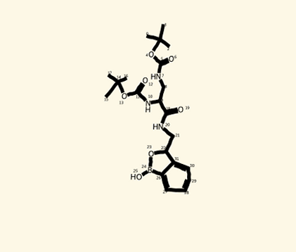 CC(C)(C)OC(=O)NCC(NC(=O)OC(C)(C)C)C(=O)NCC1OB(O)c2ccccc21